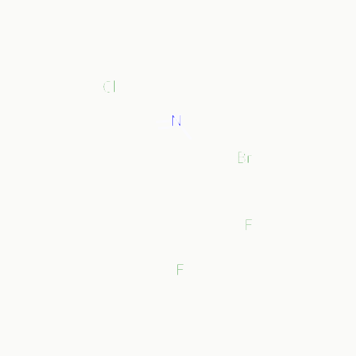 FC(F)c1ccc(Cl)nc1Br